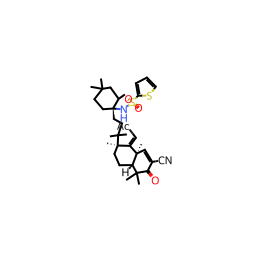 CC(=O)/C=C1/[C@@]2(C)C=C(C#N)C(=O)C(C)(C)[C@@H]2CC[C@@]1(C)C(C)(C)CC[C@@]1(NS(=O)(=O)c2cccs2)CCC(C)(C)CC1C